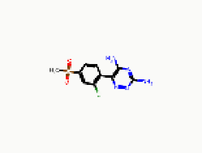 CS(=O)(=O)c1ccc(-c2nnc(N)nc2N)c(Cl)c1